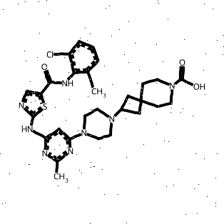 Cc1nc(Nc2ncc(C(=O)Nc3c(C)cccc3Cl)s2)cc(N2CCN(C3CC4(CCN(C(=O)O)CC4)C3)CC2)n1